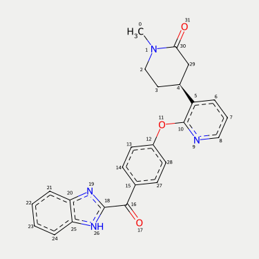 CN1CC[C@H](c2cccnc2Oc2ccc(C(=O)c3nc4ccccc4[nH]3)cc2)CC1=O